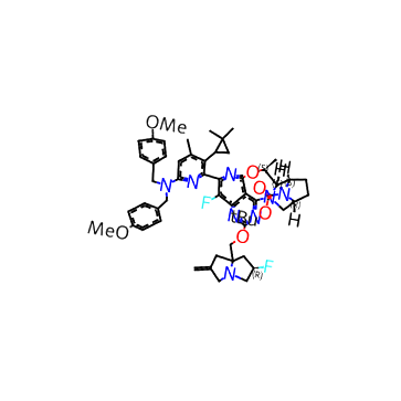 C=C1CN2C[C@H](F)CC2(COc2nc3c4c(nc(-c5nc(N(Cc6ccc(OC)cc6)Cc6ccc(OC)cc6)cc(C)c5C5CC5(C)C)c(F)c4n2)O[C@@H](C)[C@@H]2[C@@H]4CC[C@H](CN32)N4C(=O)OC(C)(C)C)C1